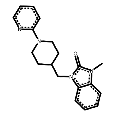 Cn1c(=O)n(CC2CCN(c3ccccn3)CC2)c2ccccc21